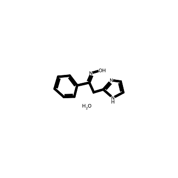 O.ON=C(Cc1ncc[nH]1)c1ccccc1